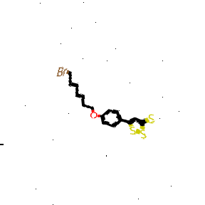 S=c1cc(-c2ccc(OCCCCCCCBr)cc2)ss1